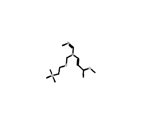 C/N=C\N(/C=C/C(C)OC)COCC[Si](C)(C)C